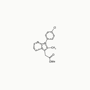 COC(=O)Cc1c(C)n(-c2ccc(Cl)cc2)c2ncccc12